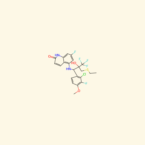 CCSCC(O)(C(Nc1cc(F)cc2[nH]c(=O)ccc12)c1ccc(OC)c(F)c1Cl)C(F)(F)F